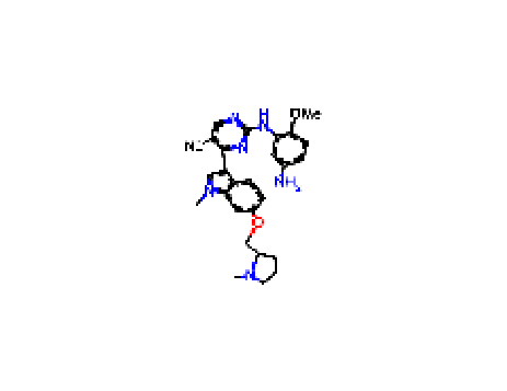 COc1ccc(N)cc1Nc1ncc(C#N)c(-c2cn(C)c3cc(OCC4CCCN4C)ccc23)n1